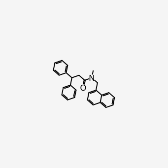 CN(Cc1cccc2ccccc12)C(=O)CC(c1ccccc1)c1ccccc1